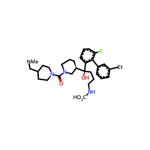 CCc1cccc(-c2c(F)cccc2[C@](O)(CCCNC(=O)O)[C@@H]2CCCN(C(=O)N3CCC(CNC)CC3)C2)c1